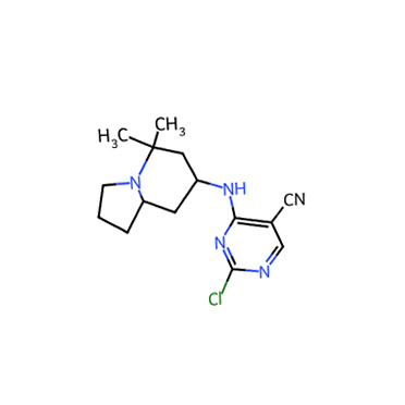 CC1(C)CC(Nc2nc(Cl)ncc2C#N)CC2CCCN21